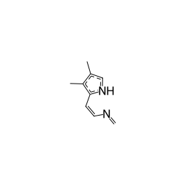 C=N/C=C\c1[nH]cc(C)c1C